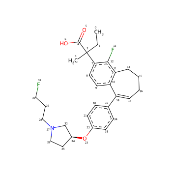 CCC(C)(C(=O)O)c1ccc2c(c1F)CCCC=C2c1ccc(O[C@H]2CCN(CCCF)C2)cc1